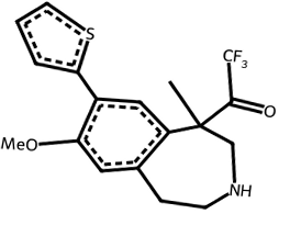 COc1cc2c(cc1-c1cccs1)C(C)(C(=O)C(F)(F)F)CNCC2